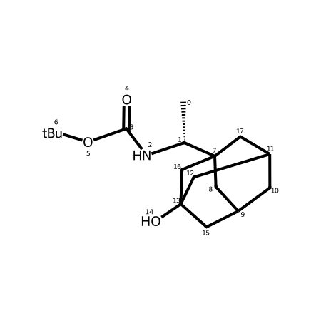 C[C@@H](NC(=O)OC(C)(C)C)C12CC3CC(CC(O)(C3)C1)C2